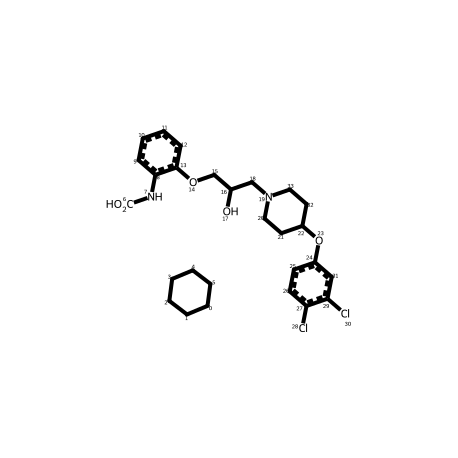 C1CCCCC1.O=C(O)Nc1ccccc1OCC(O)CN1CCC(Oc2ccc(Cl)c(Cl)c2)CC1